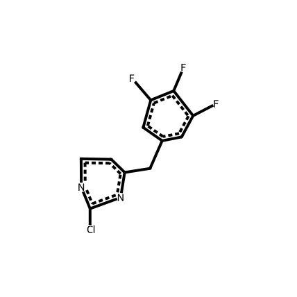 Fc1cc(Cc2ccnc(Cl)n2)cc(F)c1F